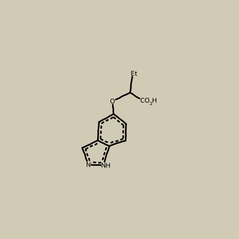 CCC(Oc1ccc2[nH]ncc2c1)C(=O)O